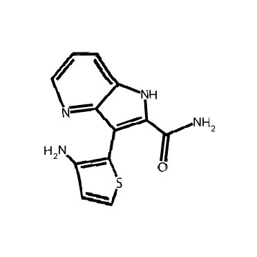 NC(=O)c1[nH]c2cccnc2c1-c1sccc1N